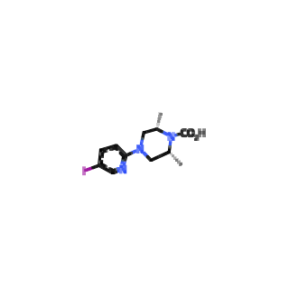 C[C@@H]1CN(c2ccc(I)cn2)C[C@H](C)N1C(=O)O